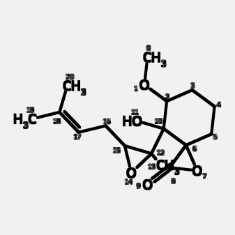 COC1CCCC2(OC2=O)C1(O)C1(C)OC1CC=C(C)C